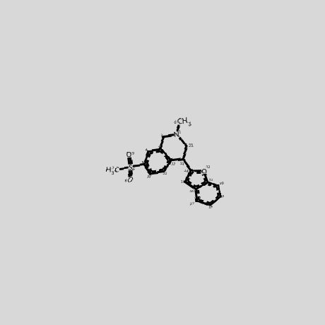 CN1Cc2cc(S(C)(=O)=O)ccc2C(c2cc3ccccc3o2)C1